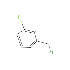 Fc1[c]c(CCl)ccc1